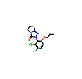 C=CCOc1ccc(Cl)c(Cl)c1-n1nc2n(c1=O)CCC2